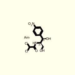 O=C(N[C@H](CO)[C@H](O)c1ccc([N+](=O)[O-])cc1)C(Cl)Cl.[Am]